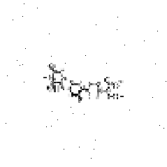 COC(=O)C(CO)N1CCC(c2ccc(NC3CCC(=O)NC3=O)cc2F)CC1